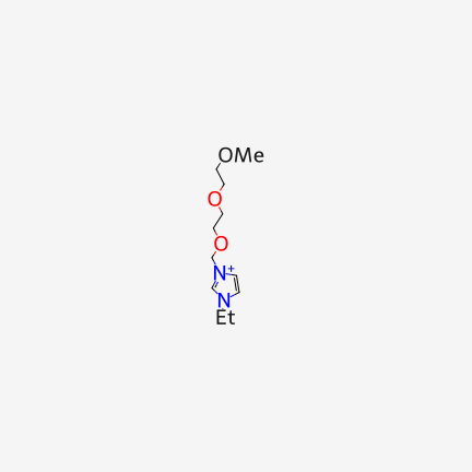 CCn1cc[n+](COCCOCCOC)c1